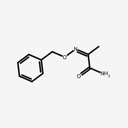 C/C(=N/OCc1ccccc1)C(N)=O